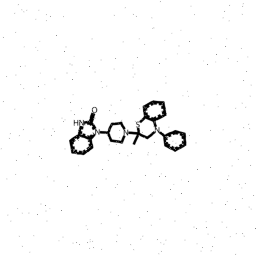 CC1(N2CCC(n3c(=O)[nH]c4ccccc43)CC2)CN(c2ccccc2)c2ccccc2S1